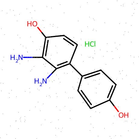 Cl.Nc1c(O)ccc(-c2ccc(O)cc2)c1N